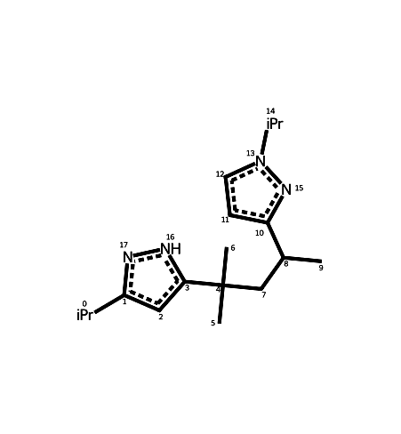 CC(C)c1cc(C(C)(C)CC(C)c2ccn(C(C)C)n2)[nH]n1